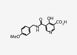 COc1ccc(CNC(=O)c2cncc(C(=O)O)c2O)cc1